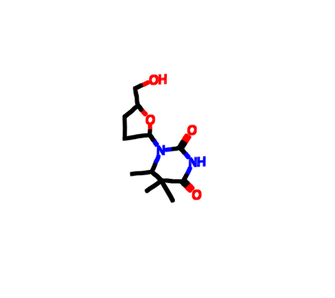 CC1N(C2CCC(CO)O2)C(=O)NC(=O)C1(C)C